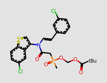 CC(C)(C)C(=O)OCOP(C)(=O)CC(=O)N(/C=C/c1cccc(Cl)c1)c1csc2ccc(Cl)cc12